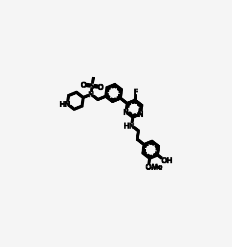 COc1cc(CCNc2ncc(F)c(-c3cccc(CN(C4CCNCC4)S(C)(=O)=O)c3)n2)ccc1O